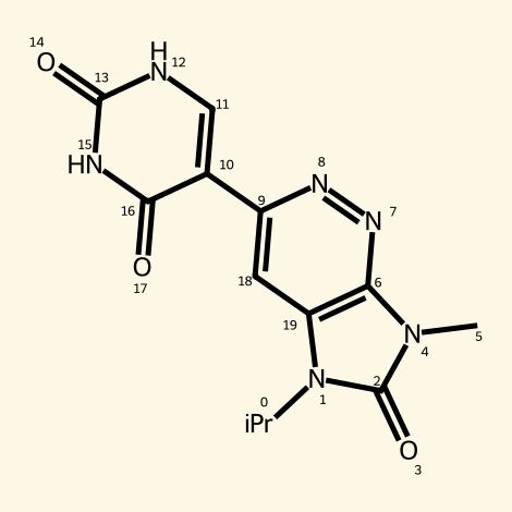 CC(C)n1c(=O)n(C)c2nnc(-c3c[nH]c(=O)[nH]c3=O)cc21